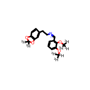 [2H]C([2H])([2H])Oc1cccc(/C=N\CCc2ccc3c(c2)OC([2H])([2H])O3)c1OC([2H])([2H])[2H]